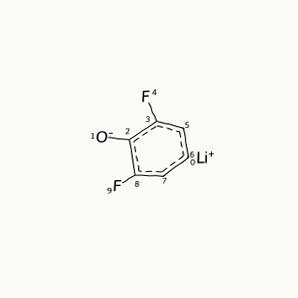 [Li+].[O-]c1c(F)cccc1F